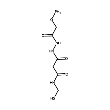 O=C(CC(=O)NNC(=O)COP)NCS